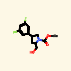 CC(C)(C)OC(=O)N1CC(c2cc(F)cc(F)c2)CC1CO